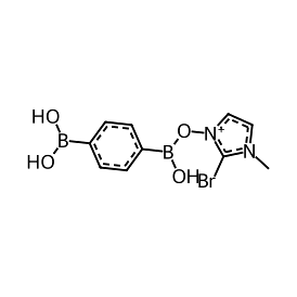 Cn1cc[n+](OB(O)c2ccc(B(O)O)cc2)c1Br